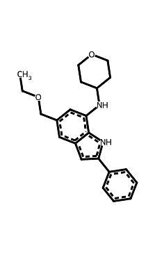 CCOCc1cc(NC2CCOCC2)c2[nH]c(-c3ccccc3)cc2c1